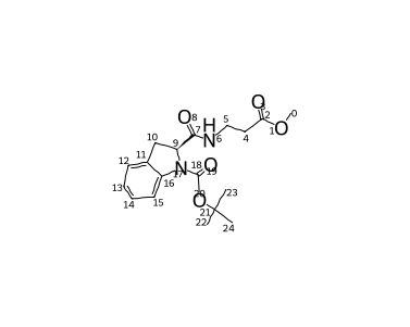 COC(=O)CCNC(=O)[C@@H]1Cc2ccccc2N1C(=O)OC(C)(C)C